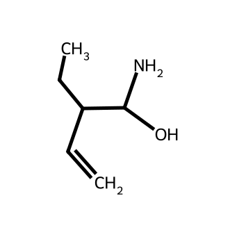 C=CC(CC)C(N)O